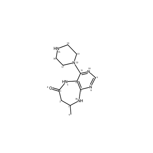 CC1CC(=O)Nc2c(ncnc2N2CCNCC2)N1